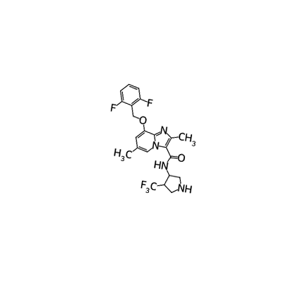 Cc1cc(OCc2c(F)cccc2F)c2nc(C)c(C(=O)NC3CNCC3C(F)(F)F)n2c1